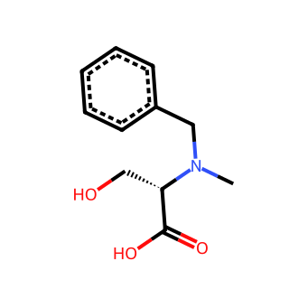 CN(Cc1ccccc1)[C@@H](CO)C(=O)O